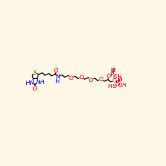 O=C(CCCCC1SCC2NC(=O)NC21)NCCCOCCOCCOCCOCC(COP(=O)(O)O)O[PH](=O)O